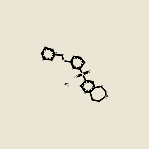 Cl.O=S(=O)(c1cccc(OCc2ccccc2)c1)c1ccc2c(c1)CCNCC2